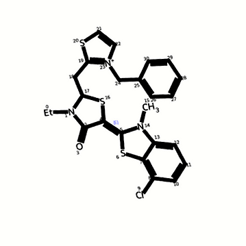 CCN1C(=O)/C(=C2\Sc3c(Cl)cccc3N2C)SC1Cc1scc[n+]1Cc1ccccc1